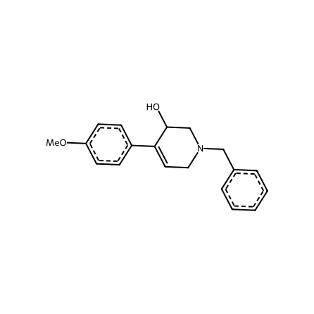 COc1ccc(C2=CCN(Cc3ccccc3)CC2O)cc1